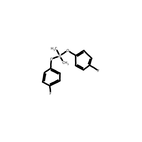 [CH3][Zr]([CH3])([O]c1ccc(F)cc1)[O]c1ccc(F)cc1